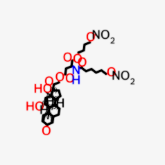 C[C@]12C=CC(=O)C=C1CC[C@@H]1[C@@H]2[C@@H](O)C[C@@]2(C)[C@H]1CC[C@]2(O)C(=O)COC(=O)CC(NC(=O)CCCCCO[N+](=O)[O-])C(=O)OCCCCO[N+](=O)[O-]